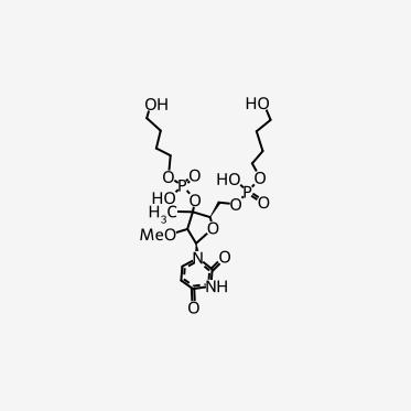 COC1[C@H](n2ccc(=O)[nH]c2=O)O[C@H](COP(=O)(O)OCCCCO)C1(C)OP(=O)(O)OCCCCO